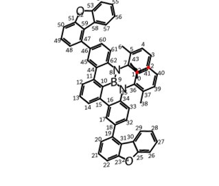 Cc1cccc(C)c1N1B2c3c(cccc3-c3cc(-c4cccc5oc6ccccc6c45)ccc3N2c2c(C)cccc2C)-c2cc(-c3cccc4oc5ccccc5c34)ccc21